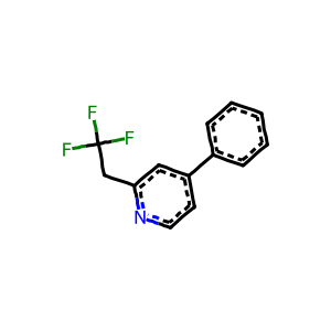 FC(F)(F)Cc1cc(-c2ccccc2)ccn1